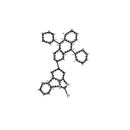 CCc1nc2cc(-c3ccc4c(-c5ccccc5)c5ccccc5c(-c5ccccc5)c4c3)cc3c4ccccc4n1c23